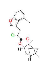 Cc1cccc2occ(C[C@@H](Cl)B3O[C@@H]4C[C@@H]5C[C@@]6(C[C@@]56C)[C@]4(C)O3)c12